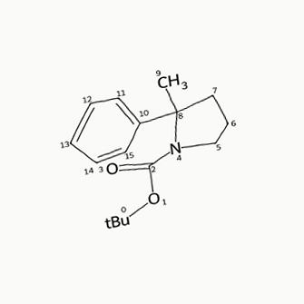 CC(C)(C)OC(=O)N1CCCC1(C)c1ccccc1